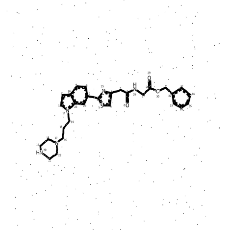 O=C(Cc1csc(-c2ccc3ccn(CCCN4CCNCC4)c3c2)n1)NCC(=O)OCc1ccccc1